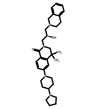 CC1(C)CN(C[C@H](O)CN2CCc3ccccc3C2)C(=O)c2ccc(N3CCC(N4CCCC4)CC3)cc21